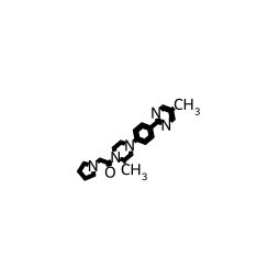 Cc1cnc(-c2ccc(N3CCN(C(=O)CN4CCCC4)[C@H](C)C3)cc2)nc1